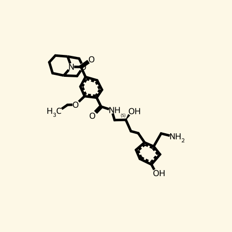 CCOc1cc(C(=O)N2C3CCCC2COC3)ccc1C(=O)NC[C@@H](O)CCc1ccc(O)cc1CN